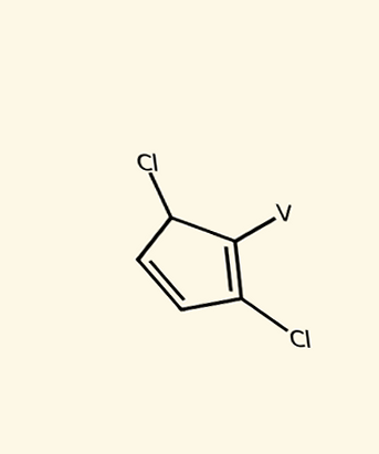 ClC1=[C]([V])C(Cl)C=C1